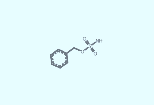 [NH]S(=O)(=O)OCc1ccccc1